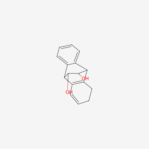 OC1C2C3=C(CCC=C3)C(c3ccccc32)C1O